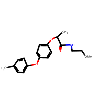 COCCNC(=O)C(C)Oc1ccc(Oc2ccc(C(F)(F)F)cc2)cc1